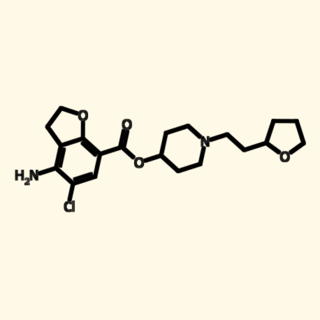 Nc1c(Cl)cc(C(=O)OC2CCN(CCC3CCCO3)CC2)c2c1CCO2